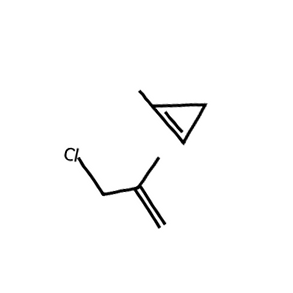 C=C(C)CCl.CC1=CC1